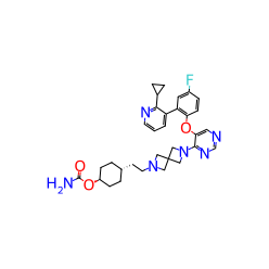 NC(=O)O[C@H]1CC[C@H](CCN2CC3(C2)CN(c2ncncc2Oc2ccc(F)cc2-c2cccnc2C2CC2)C3)CC1